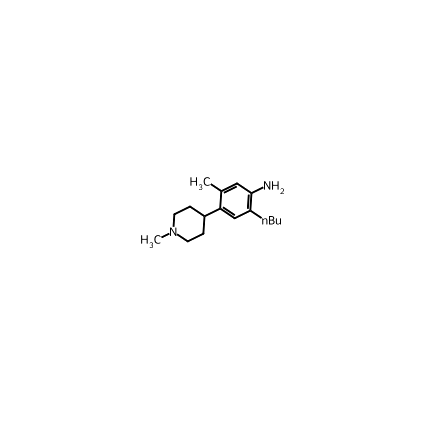 CCCCc1cc(C2CCN(C)CC2)c(C)cc1N